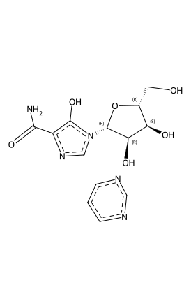 NC(=O)c1ncn([C@@H]2O[C@H](CO)[C@@H](O)[C@H]2O)c1O.c1cncnc1